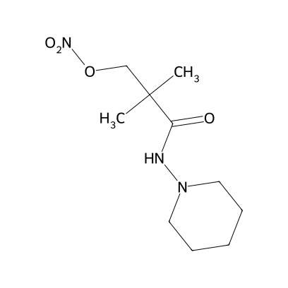 CC(C)(CO[N+](=O)[O-])C(=O)NN1CCCCC1